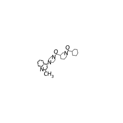 Cc1cc(N2CCN(C(=O)C3CCCN(C(=O)C4CCCCC4)C3)CC2)c2ccccc2n1